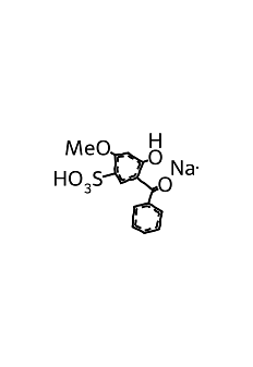 COc1cc(O)c(C(=O)c2ccccc2)cc1S(=O)(=O)O.[Na]